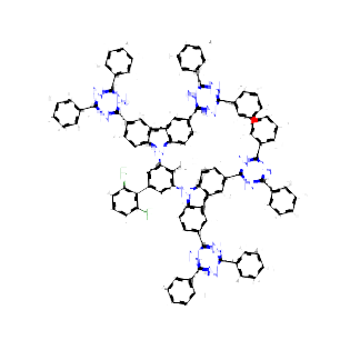 Fc1cccc(F)c1-c1cc(-n2c3ccc(-c4nc(-c5ccccc5)nc(-c5ccccc5)n4)cc3c3cc(-c4nc(-c5ccccc5)nc(-c5ccccc5)n4)ccc32)c(C(F)(F)F)c(-n2c3ccc(-c4nc(-c5ccccc5)nc(-c5ccccc5)n4)cc3c3cc(-c4nc(-c5ccccc5)nc(-c5ccccc5)n4)ccc32)c1